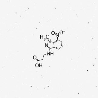 Cn1nc(NCCC(=O)O)c2cccc([N+](=O)[O-])c21